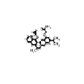 CC(C)c1cc(OCC(N)=O)c2ncc(CC(C)c3cc(OC4CC4)c4ncccc4c3)cc2c1